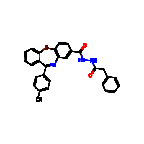 N#Cc1ccc(C2=Nc3cc(C(=O)NNC(=O)Cc4ccccc4)ccc3Sc3ccccc32)cc1